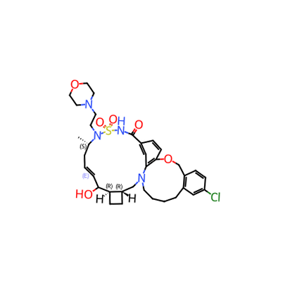 C[C@H]1C/C=C/C(O)[C@@H]2CC[C@H]2CN2CCCCc3cc(Cl)ccc3COc3ccc(cc32)C(=O)NS(=O)(=O)N1CCN1CCOCC1